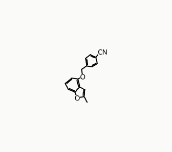 Cc1cc2c(OCc3ccc(C#N)cc3)cccc2o1